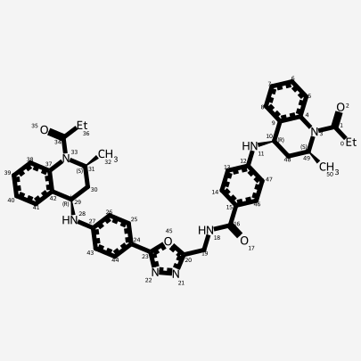 CCC(=O)N1c2ccccc2[C@H](Nc2ccc(C(=O)NCc3nnc(-c4ccc(N[C@@H]5C[C@H](C)N(C(=O)CC)c6ccccc65)cc4)o3)cc2)C[C@@H]1C